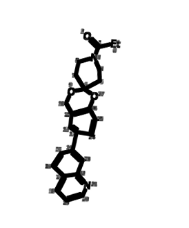 CCC(=O)N1CCC2(CC1)OCc1cc(-c3ccc4cccnc4c3)ccc1O2